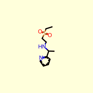 CCS(=O)(=O)CCNC(C)c1ccccn1